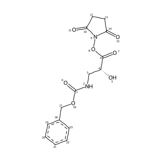 O=C(NC[C@@H](O)C(=O)ON1C(=O)CCC1=O)OCc1ccccc1